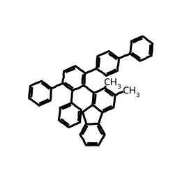 Cc1cc2c(c(-c3c(-c4ccc(-c5ccccc5)cc4)ccc(-c4ccccc4)c3-c3ccccc3)c1C)Cc1ccccc1-2